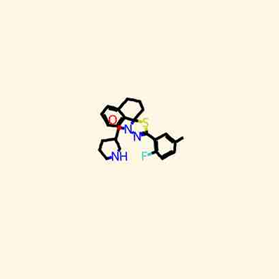 Cc1ccc(F)c(C2=NN(C(=O)C3CCCNC3)C3(CCCc4ccccc43)S2)c1